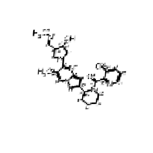 CN=C[C@@H]1CN(c2nc3cc([C@@H]4CCCCN4C(=O)c4ncccc4Cl)nn3cc2C)C[C@@H]1O